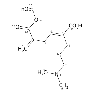 C=C(CC=C(CCCN(C)C)C(=O)O)C(=O)OCCCCCCCC